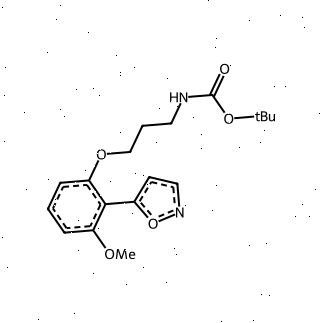 COc1cccc(OCCCNC(=O)OC(C)(C)C)c1-c1ccno1